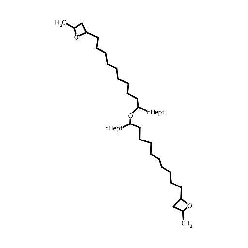 CCCCCCCC(CCCCCCCCCC1CC(C)O1)OC(CCCCCCC)CCCCCCCCCC1CC(C)O1